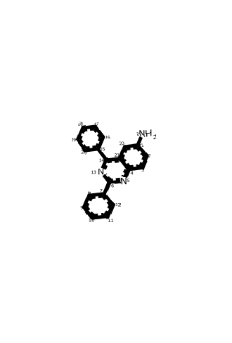 Nc1ccc2nc(-c3ccccc3)nc(-c3ccccc3)c2c1